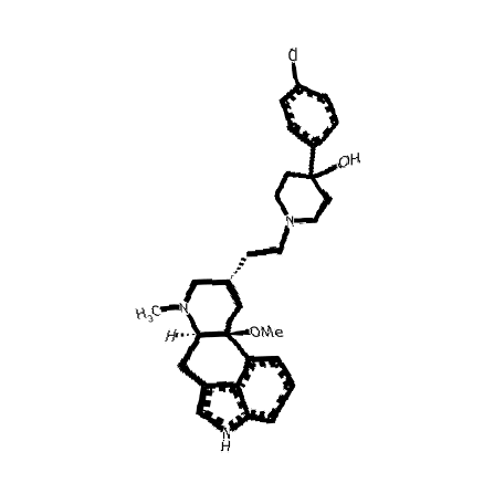 CO[C@]12C[C@@H](CCN3CCC(O)(c4ccc(Cl)cc4)CC3)CN(C)[C@@H]1Cc1c[nH]c3cccc2c13